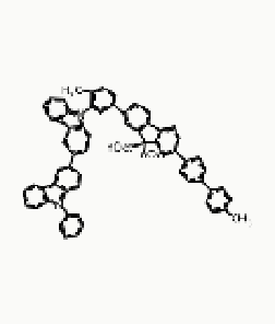 CCCCCCCCC1(CCCCCCCC)c2cc(-c3ccc(-c4ccc(C)cc4)cc3)ccc2-c2ccc(-c3ccc(C)c(-n4c5ccccc5c5cc(-c6ccc7c(c6)c6ccccc6n7-c6ccccc6)ccc54)c3)cc21